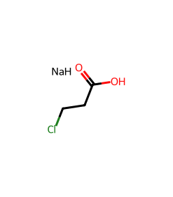 O=C(O)CCCl.[NaH]